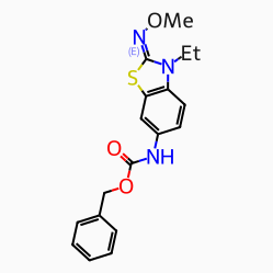 CCn1/c(=N\OC)sc2cc(NC(=O)OCc3ccccc3)ccc21